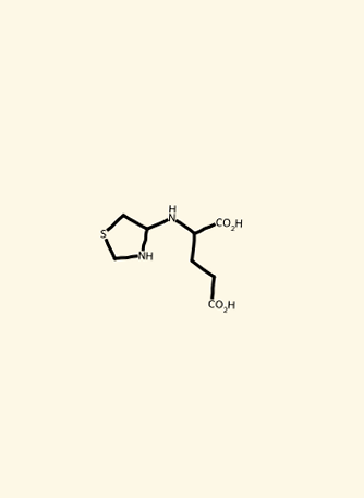 O=C(O)CCC(NC1CSCN1)C(=O)O